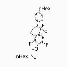 CCCCCCc1ccc(C2CCc3c(cc(F)c(OCC(F)CCCCCC)c3F)C2(F)F)cc1